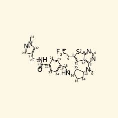 CN(c1ncnc2sc(CC(F)(F)F)cc12)[C@@H]1CC[C@H](NCc2ccc(C(=O)NCc3cnn(C)c3)cc2)C1